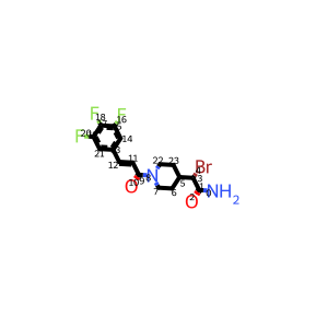 NC(=O)C(Br)C1CCN(C(=O)/C=C/c2cc(F)c(F)c(F)c2)CC1